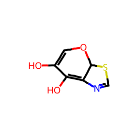 OC1=COC2SC=NC2=C1O